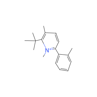 Cc1ccccc1-c1ccc(C)c(C(C)(C)C)[n+]1C